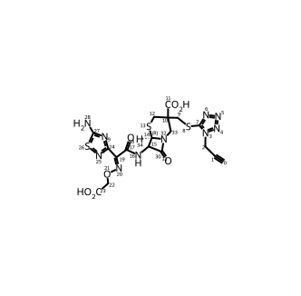 C#CCn1nnnc1SCC1(C(=O)O)CS[C@@H]2C(NC(=O)C(=NOCC(=O)O)c3nsc(N)n3)C(=O)N2C1